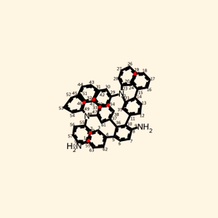 Nc1ccc(-c2ccc(N)c(-c3ccc(-c4ccccc4)c(N(c4ccccc4)c4ccccc4)c3)c2-c2ccc(-c3ccccc3)c(N(c3ccccc3)c3ccccc3)c2)cc1